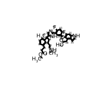 CCOC(=O)CCc1cccc(C(C)(CCCCNC)c2cnc(-c3cc(Oc4c(F)cc5[nH]ccc5c4CC(=O)O)ccc3F)[nH]2)c1